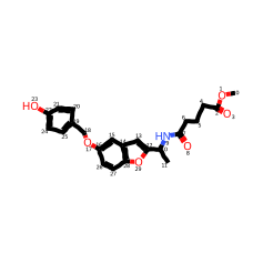 COC(=O)CCCC(=O)NC(C)c1cc2cc(OCc3ccc(O)cc3)ccc2o1